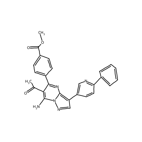 COC(=O)c1ccc(-c2nc3c(-c4ccc(-c5ccccc5)nc4)cnn3c(N)c2C(C)=O)cc1